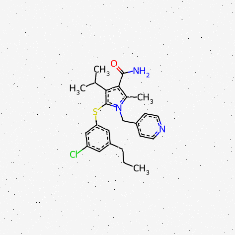 CCCc1cc(Cl)cc(Sc2c(C(C)C)c(C(N)=O)c(C)n2Cc2ccncc2)c1